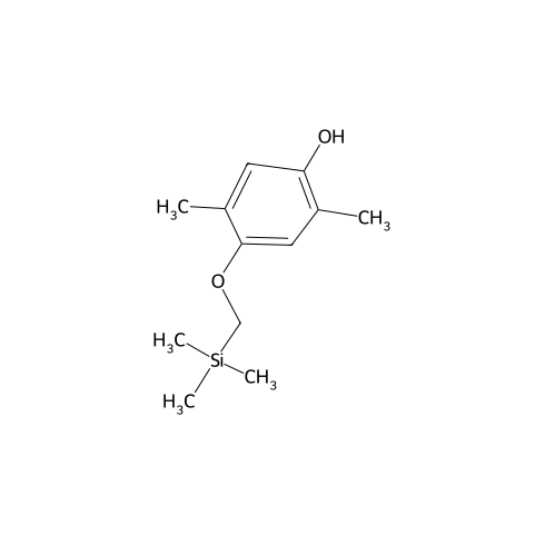 Cc1cc(OC[Si](C)(C)C)c(C)cc1O